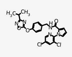 CC(C)c1noc(Oc2ccc(CNC(=O)c3cccn3-c3ncc(Cl)cc3Cl)cc2)n1